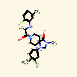 CC(C)[C@@H](Nc1cc(C(F)(F)F)ccc1F)C(=O)N1CCC2(CC1)C(=O)N(C)CN2c1ccc(C(=O)O)c(Cl)c1